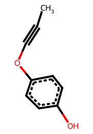 CC#COc1ccc(O)cc1